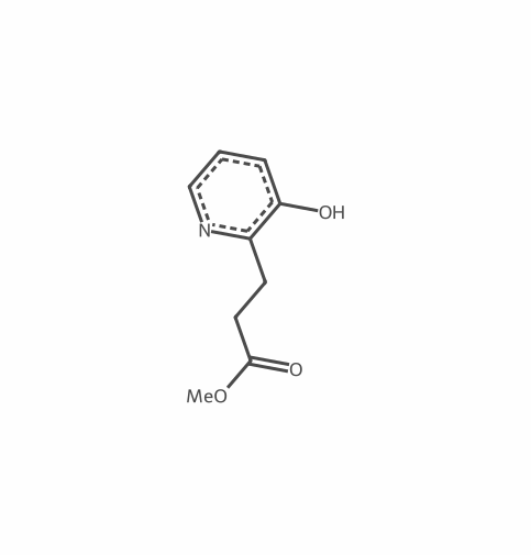 COC(=O)CCc1ncccc1O